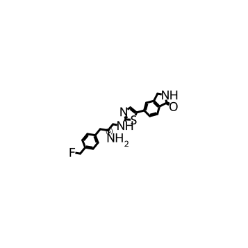 N[C@H](CNc1ncc(-c2ccc3c(c2)CNC3=O)s1)Cc1ccc(CF)cc1